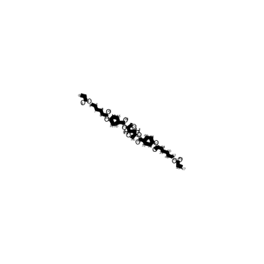 C=CC(=O)OCCCCCC(=O)Oc1ccc(C(=O)O[C@H]2CO[C@H]3[C@@H]2OC[C@H]3OC(=O)c2ccc(OC(=O)CCCCCOC(=O)C=C)cc2)cc1